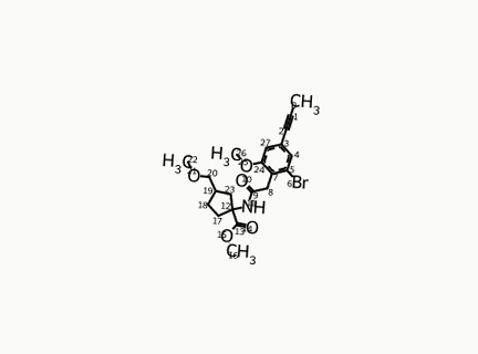 CC#Cc1cc(Br)c(CC(=O)NC2(C(=O)OC)CCC(COC)C2)c(OC)c1